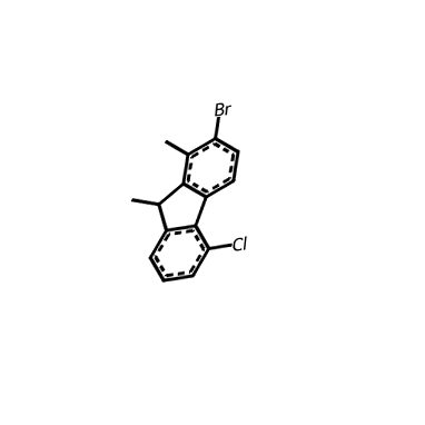 Cc1c(Br)ccc2c1C(C)c1cccc(Cl)c1-2